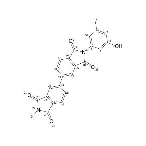 Cc1cc(O)cc(N2C(=O)c3ccc(-c4ccc5c(c4)C(=O)N(C)C5=O)cc3C2=O)c1